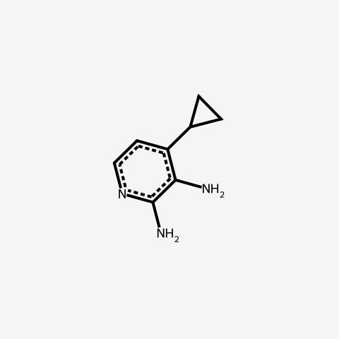 Nc1nccc(C2CC2)c1N